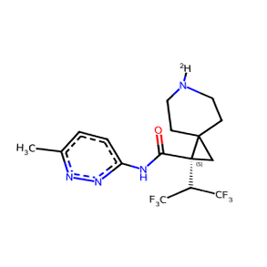 [2H]N1CCC2(CC1)C[C@]2(C(=O)Nc1ccc(C)nn1)C(C(F)(F)F)C(F)(F)F